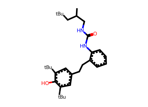 CC(CNC(=O)Nc1ccccc1CCc1cc(C(C)(C)C)c(O)c(C(C)(C)C)c1)CC(C)(C)C